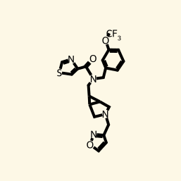 O=C(c1cscn1)N(Cc1cccc(OC(F)(F)F)c1)CC1C2CN(Cc3ccon3)CC21